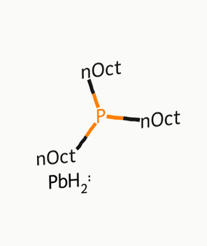 CCCCCCCCP(CCCCCCCC)CCCCCCCC.[PbH2]